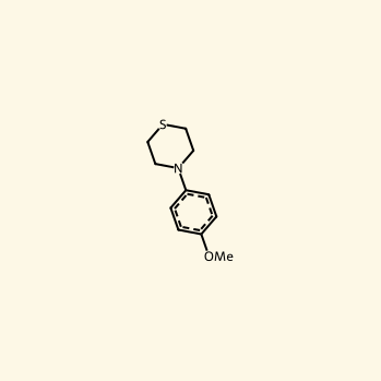 COc1ccc(N2CCSCC2)cc1